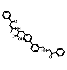 CC(=CC(=O)c1ccccc1)NC(Cc1ccc(-c2cccc(CNCC(=O)c3ccccc3)c2)cc1)C(=O)O